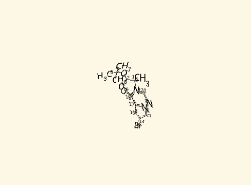 CC(C(=O)OC(C)(C)C)n1cnn2cc(Br)cc2c1=O